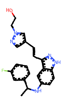 CC(Nc1ccc2[nH]nc(/C=C/c3cnn(CCO)c3)c2c1)c1cccc(F)c1